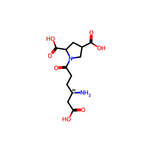 N[C@H](CCC(=O)N1CC(C(=O)O)CC1C(=O)O)CC(=O)O